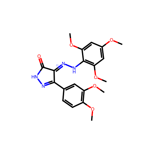 COc1cc(OC)c(N/N=C2/C(=O)NN=C2c2ccc(OC)c(OC)c2)c(OC)c1